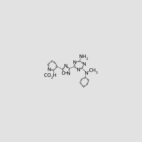 CN(c1ccccc1)c1nc(N)nc(-c2noc(-c3cccnc3C(=O)O)n2)n1